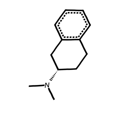 CN(C)[C@H]1CCc2ccccc2C1